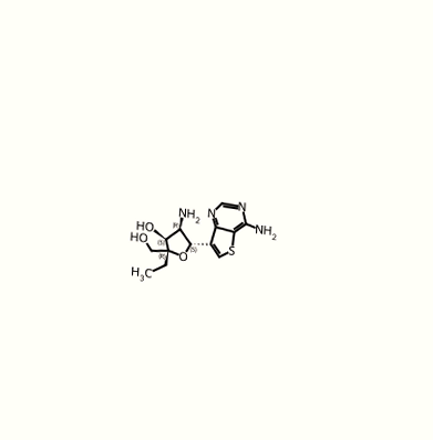 CC[C@]1(CO)O[C@@H](c2csc3c(N)ncnc23)[C@H](N)[C@@H]1O